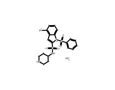 CC(C)c1cccc2c1cc(S(=O)(=O)NC1CCNCC1)n2S(=O)(=O)c1ccccc1.Cl